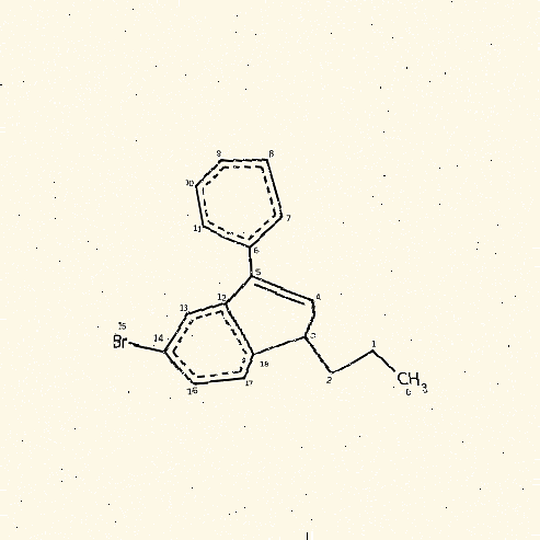 CCCC1C=C(c2ccccc2)c2cc(Br)ccc21